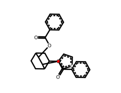 O=C(OC1C2CCC(C(c3ccoc3)C2)C1OC(=O)c1ccccc1)c1ccccc1